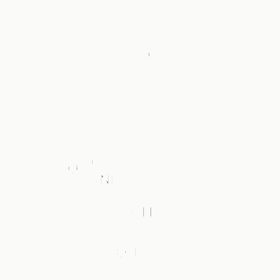 CC(=CC(=O)NCC(O)CO)c1ccc(CC(C)CCCC(C)C)cc1